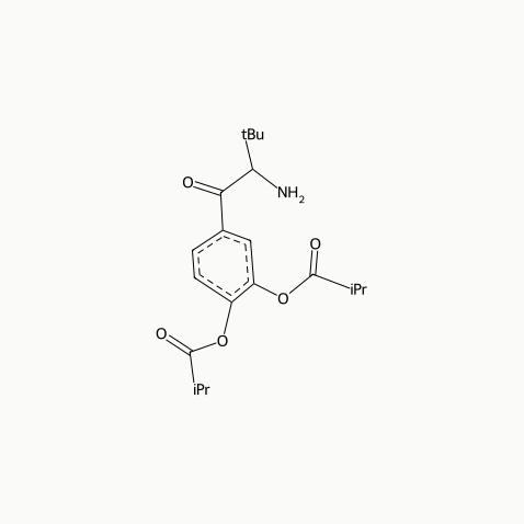 CC(C)C(=O)Oc1ccc(C(=O)C(N)C(C)(C)C)cc1OC(=O)C(C)C